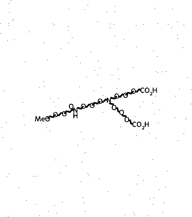 COCCOCCOCCC(=O)NCCOCCOCCOCCN(CCOCCOCCOCCC(=O)O)CCOCCOCCOCCC(=O)O